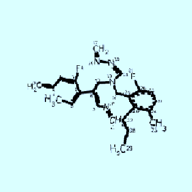 C=C\C=C(F)/C(=C\C)C(=C/N=C)/CN(/C=N\N=C)Cc1c(F)ccc(C)c1CCC